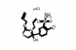 C=CCN=C1SCC(O)(c2ccc(Cl)c(S(N)(=O)=O)c2)N1CC=C.Cl